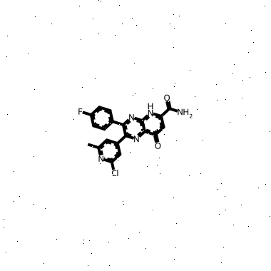 Cc1cc(-c2nc3c(=O)cc(C(N)=O)[nH]c3nc2-c2ccc(F)cc2)cc(Cl)n1